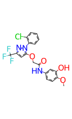 COc1ccc(NC(=O)COc2cc(C(F)(F)F)nn2-c2ccccc2Cl)cc1O